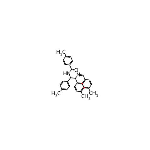 Cc1ccc(/C=N\C(c2ccc(C)cc2)C(NC(=O)c2ccc(C)cc2)c2ccc(C)cc2)cc1